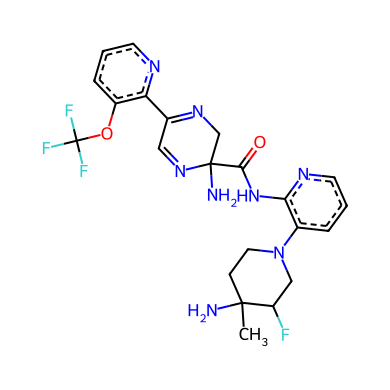 CC1(N)CCN(c2cccnc2NC(=O)C2(N)CN=C(c3ncccc3OC(F)(F)F)C=N2)CC1F